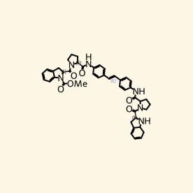 COC(=O)N1c2ccccc2C[C@H]1C(=O)N1CCC[C@H]1C(=O)Nc1ccc(/C=C/c2ccc(NC(=O)C3CCCN3C(=O)[C@@H]3CC4=CC=CCC4N3)cc2)cc1